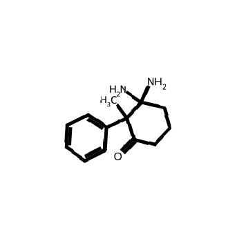 CC1(c2ccccc2)C(=O)CCCC1(N)N